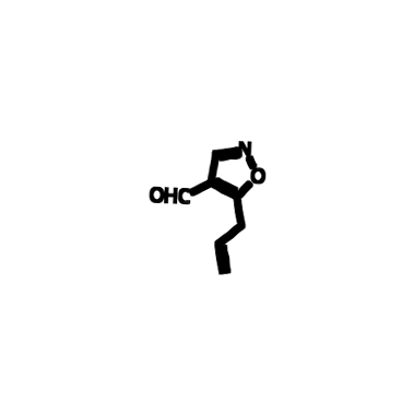 C=CCc1oncc1C=O